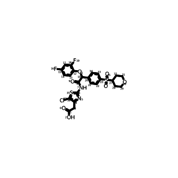 O=C(O)Cc1nc(NC(=O)C(Oc2ccc(F)cc2F)c2ccc(S(=O)(=O)C3CCOCC3)cc2)sc1Cl